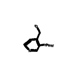 CCCCCc1cnccc1C[O]